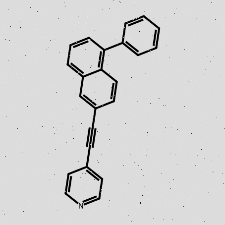 C(#Cc1ccc2c(-c3ccccc3)cccc2c1)c1ccncc1